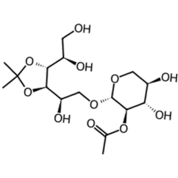 CC(=O)O[C@H]1[C@H](OC[C@@H](O)[C@H]2OC(C)(C)O[C@@H]2[C@H](O)CO)OC[C@@H](O)[C@@H]1O